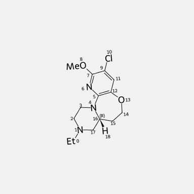 CCN1CCN2c3nc(OC)c(Cl)cc3OCC[C@@H]2C1